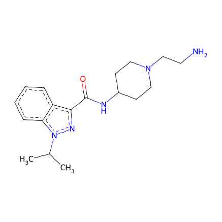 CC(C)n1nc(C(=O)NC2CCN(CCN)CC2)c2ccccc21